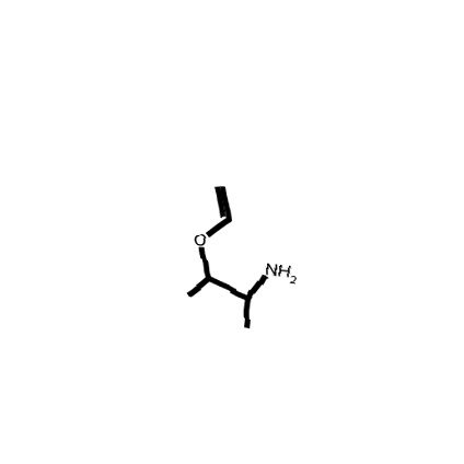 C=COC(C)C(C)N